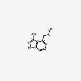 Cc1n[nH]c2ccnc(CCC(C)C)c12